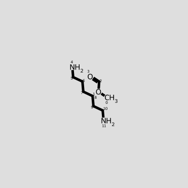 COC=O.NCCCCCCN